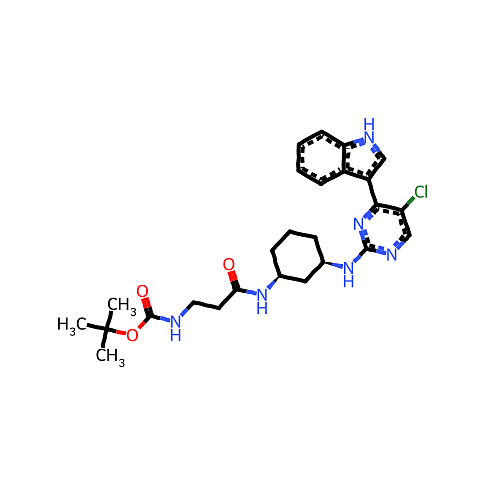 CC(C)(C)OC(=O)NCCC(=O)N[C@H]1CCC[C@@H](Nc2ncc(Cl)c(-c3c[nH]c4ccccc34)n2)C1